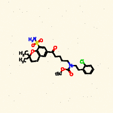 CC(C)(C)OC(=O)N(CCCCC(=O)c1cc2c(c(S(N)(=O)=O)c1)OC(C)(C)CC2)CCc1ccccc1Cl